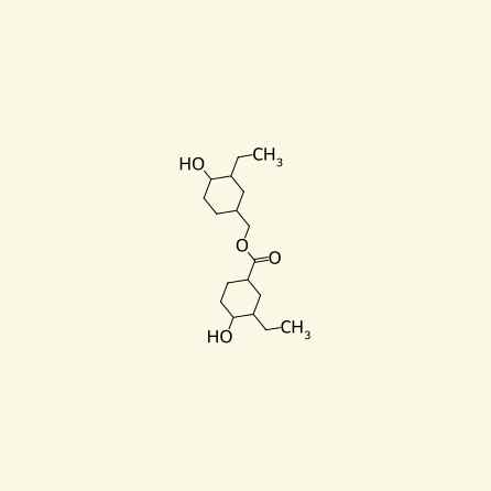 CCC1CC(COC(=O)C2CCC(O)C(CC)C2)CCC1O